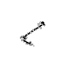 CC(C)[C@H](NC(=O)CCOCCOCCOCCOCCNC(=O)CCN1C(=O)CCC1=O)C(=O)N[C@H](C)CCCNC(N)=O